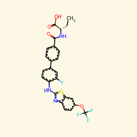 CC[C@H](NC(=O)c1ccc(-c2ccc(Nc3nc4ccc(OC(F)(F)F)cc4s3)c(F)c2)cc1)C(=O)O